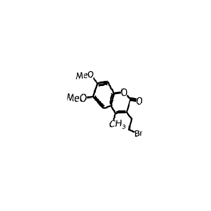 COc1cc2oc(=O)c(CCBr)c(C)c2cc1OC